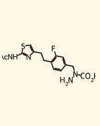 CC(=O)Nc1nc(CCc2ccc(CN(N)C(=O)O)cc2F)cs1